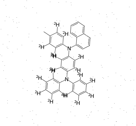 [2H]c1c([2H])c([2H])c(N(c2c([2H])c([2H])c([2H])c([2H])c2[2H])c2c([2H])c([2H])c(N(c3c([2H])c([2H])c(C)c([2H])c3[2H])c3cccc4ccccc34)c([2H])c2[2H])c([2H])c1[2H]